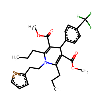 CCCC1=C(C(=O)OC)C(c2ccc(C(F)(F)F)cc2)C(C(=O)OC)=C(CCC)N1CCc1cccs1